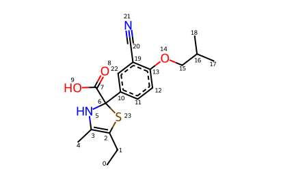 CCC1=C(C)NC(C(=O)O)(c2ccc(OCC(C)C)c(C#N)c2)S1